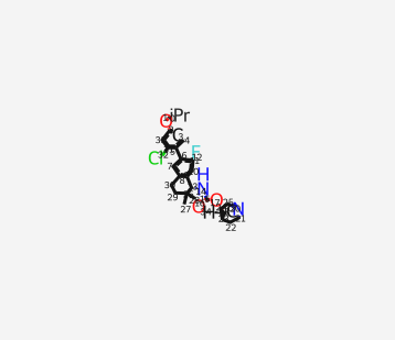 CC(C)Oc1ccc(-c2cc3c(cc2F)[C@H](NC(=O)O[C@@H]2CN4CCC2CC4)C(C)(C)CC3)c(Cl)c1